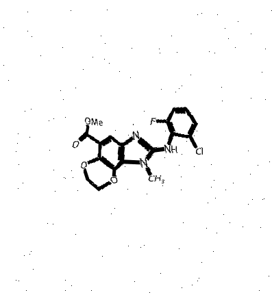 COC(=O)c1cc2nc(Nc3c(F)cccc3Cl)n(C)c2c2c1OCCO2